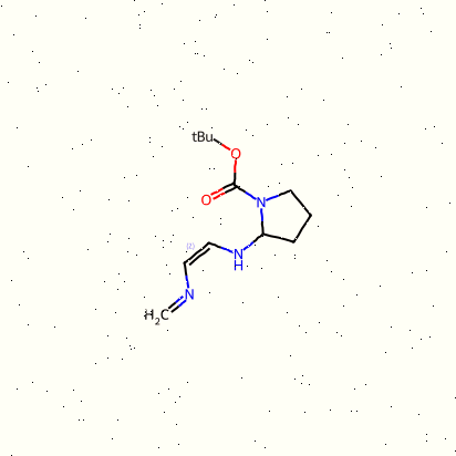 C=N/C=C\NC1CCCN1C(=O)OC(C)(C)C